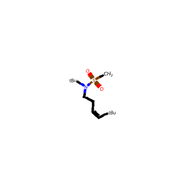 CC(C)(C)/C=C\CCN(C(C)(C)C)S(C)(=O)=O